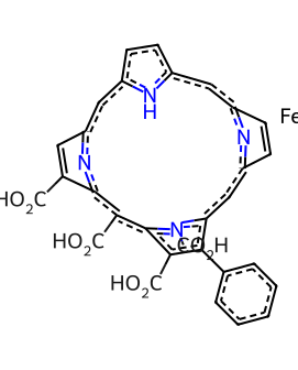 O=C(O)C1=Cc2cc3ccc(cc4nc(cc5c(-c6ccccc6)c(C(=O)O)c(c(C(=O)O)c1n2)n5C(=O)O)C=C4)[nH]3.[Fe]